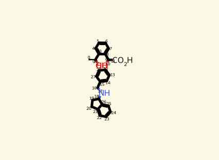 C[C@H](O)c1ccccc1C(O)C(=O)O.c1ccc(CNC2CCc3ccccc32)cc1